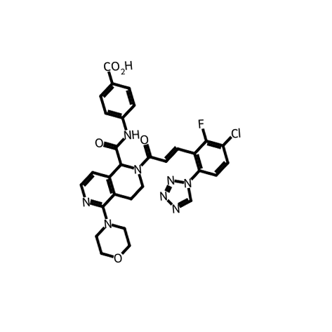 O=C(O)c1ccc(NC(=O)C2c3ccnc(N4CCOCC4)c3CCN2C(=O)C=Cc2c(-n3cnnn3)ccc(Cl)c2F)cc1